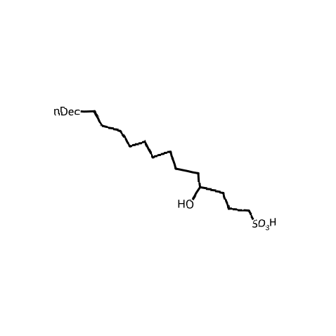 CCCCCCCCCCCCCCCCCCCC(O)CCCS(=O)(=O)O